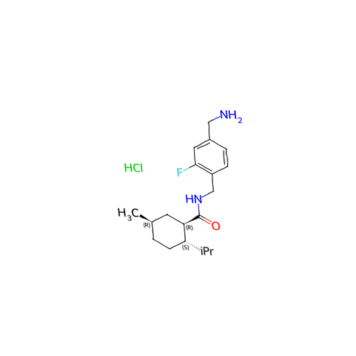 CC(C)[C@@H]1CC[C@@H](C)C[C@H]1C(=O)NCc1ccc(CN)cc1F.Cl